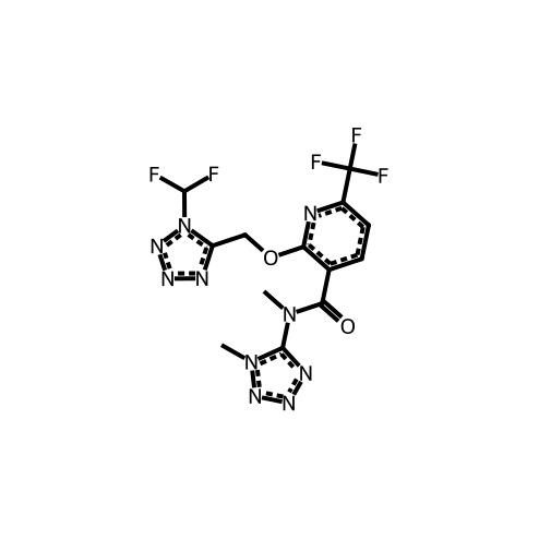 CN(C(=O)c1ccc(C(F)(F)F)nc1OCc1nnnn1C(F)F)c1nnnn1C